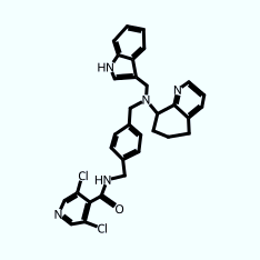 O=C(NCc1ccc(CN(Cc2c[nH]c3ccccc23)C2CCCc3cccnc32)cc1)c1c(Cl)cncc1Cl